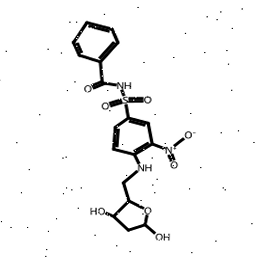 O=C(NS(=O)(=O)c1ccc(NCC2OC(O)CC2O)c([N+](=O)[O-])c1)c1ccccc1